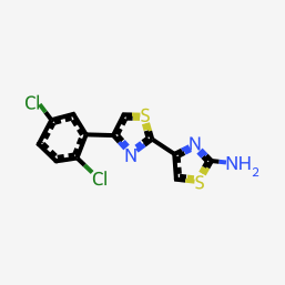 Nc1nc(-c2nc(-c3cc(Cl)ccc3Cl)cs2)cs1